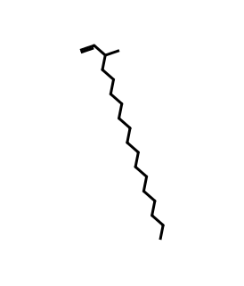 C=CC(C)CCCCCCCCCCCCCCC